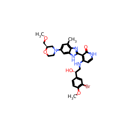 COC[C@H]1CN(c2cc(C)c3nc(-c4c(NC[C@@H](O)c5ccc(OC)c(Br)c5)cc[nH]c4=O)[nH]c3c2)CCO1